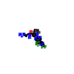 CCc1cc(Nc2nccn3c(-c4cn(CC(F)F)nc4C(F)(F)F)cnc23)ccc1C(=O)NCC1CC1N